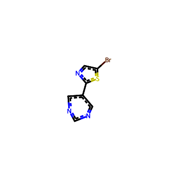 Brc1cnc(-c2cncnc2)s1